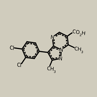 Cc1nn2c(C)c(C(=O)O)cnc2c1-c1ccc(Cl)c(Cl)c1